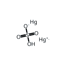 O=S(=O)([O-])O.[Hg+].[Hg]